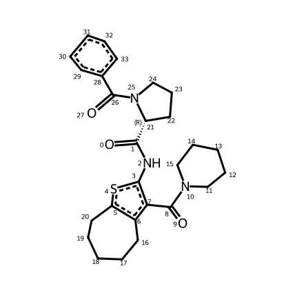 O=C(Nc1sc2c(c1C(=O)N1CCCCC1)CCCCC2)[C@H]1CCCN1C(=O)c1ccccc1